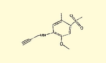 C#CCNc1cc(C)c(S(C)(=O)=O)cc1OC